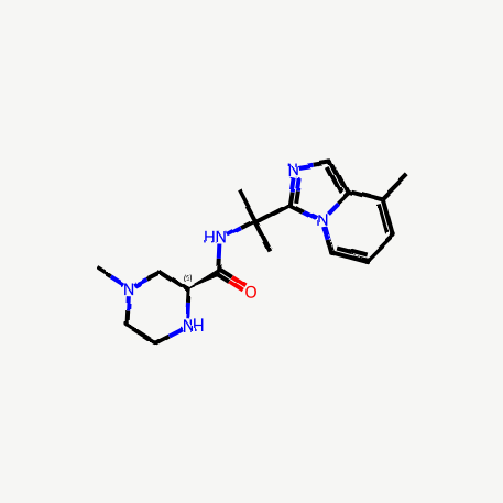 Cc1cccn2c(C(C)(C)NC(=O)[C@@H]3CN(C)CCN3)ncc12